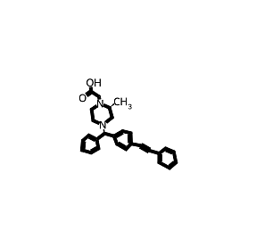 C[C@@H]1CN([C@@H](c2ccccc2)c2ccc(C#Cc3ccccc3)cc2)CCN1CC(=O)O